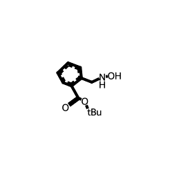 CC(C)(C)OC(=O)c1ccccc1CNO